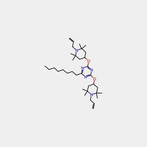 C=CCN1C(C)(C)CC(Oc2nc(CCCCCCCC)nc(OC3CC(C)(C)N(CC=C)C(C)(C)C3)n2)CC1(C)C